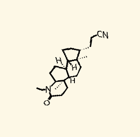 CN1C(=O)CC[C@@]2(C)C1CC[C@H]1[C@@H]3CC[C@H](CCC#N)[C@@]3(C)CC[C@@H]12